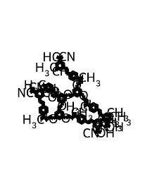 [C-]#[N+]/C(O)=C1C=C(/C=C/c2ccc(N(C)CCOc3cc(COc4cc(OCc5cc(OCCN(C)c6ccc(/C=C/C7=CC(=C(/O)[N+]#[C-])/CC(C)(C)C7)cc6)cc(OCN(C)c6ccc(/C=C/C7=CC(=C(/O)C#N)/CC(C)(C)C7)cc6)c5)cc(C(=O)Oc5ccc(C)cc5)c4)cc(OCCN(C)c4ccc(/C=C/C5=CC(=C(C#N)C#N)CC(C)(C)C5)cc4)c3)cc2)CC(C)(C)C\1